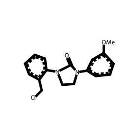 COc1cccc(N2CCN(c3ccccc3CCl)C2=O)c1